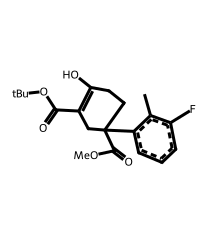 COC(=O)C1(c2cccc(F)c2C)CCC(O)=C(C(=O)OC(C)(C)C)C1